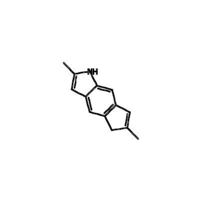 CC1=Cc2cc3[nH]c(C)cc3cc2C1